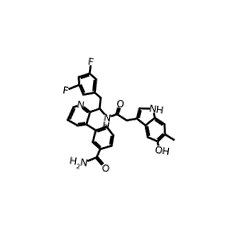 Cc1cc2[nH]cc(CC(=O)NC(Cc3cc(F)cc(F)c3)c3ncccc3-c3cccc(C(N)=O)c3)c2cc1O